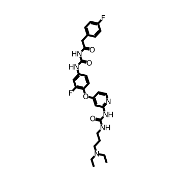 CCN(CC)CCCNC(=O)Nc1cc(Oc2ccc(NC(=O)NC(=O)Cc3ccc(F)cc3)cc2F)ccn1